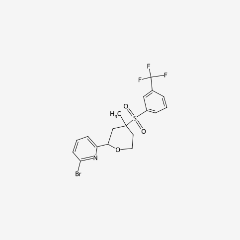 CC1(S(=O)(=O)c2cccc(C(F)(F)F)c2)CCOC(c2cccc(Br)n2)C1